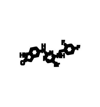 O=C1Cc2cc(Nc3ncc(Br)c(NCc4ccc(F)cc4F)n3)ccc2N1